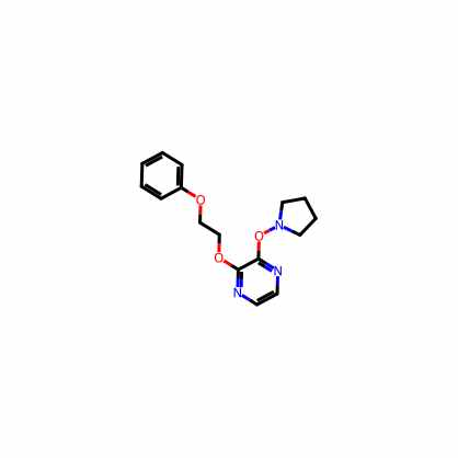 c1ccc(OCCOc2nccnc2ON2CCCC2)cc1